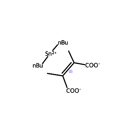 C/C(C(=O)[O-])=C(\C)C(=O)[O-].CCC[CH2][Sn+2][CH2]CCC